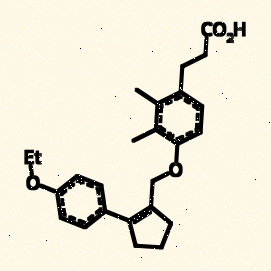 CCOc1ccc(C2=C(COc3ccc(CCC(=O)O)c(C)c3C)CCC2)cc1